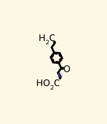 C=CCc1ccc(C(=O)/C=C/C(=O)O)cc1